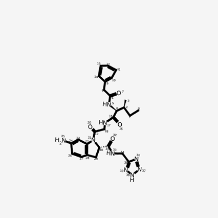 CC[C@H](C)[C@H](NC(=O)Cc1ccccc1)C(=O)NCC(=O)N1c2cc(N)ccc2C[C@H]1C(=O)NCc1nn[nH]n1